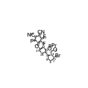 CCCOC(=O)c1c(Br)cccc1-c1ccc(Oc2c(F)c(F)c(C#N)c(C#N)c2F)cc1